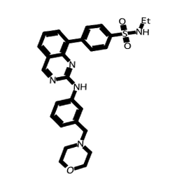 CCNS(=O)(=O)c1ccc(-c2cccc3cnc(Nc4cccc(CN5CCOCC5)c4)nc23)cc1